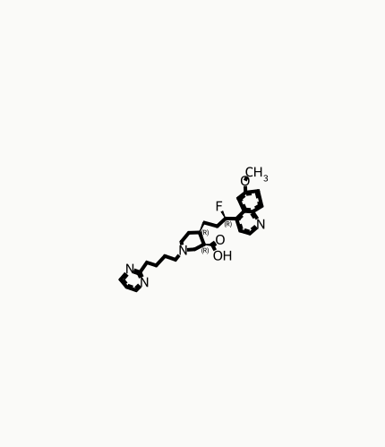 COc1ccc2nccc([C@H](F)CC[C@@H]3CCN(CCCCc4ncccn4)C[C@@H]3C(=O)O)c2c1